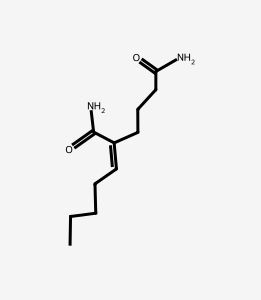 CCCCC=C(CCCC(N)=O)C(N)=O